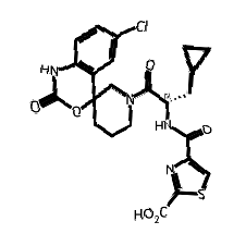 O=C1Nc2ccc(Cl)cc2C2(CCCN(C(=O)[C@H](CC3CC3)NC(=O)c3csc(C(=O)O)n3)C2)O1